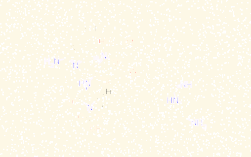 CCc1sc(N)nc1/C(=N/OC(COc1ccc(C(=N)NCCN)cc1)C(=O)O)C(=O)N[C@@H]1C(=O)N(S(=O)(=O)O)C1(C)C